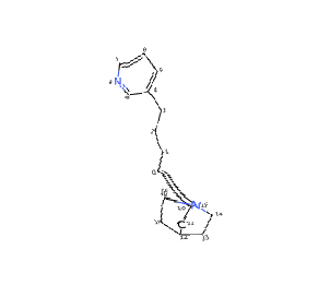 C(CCCc1cccnc1)=C1CC2CCN1CC2